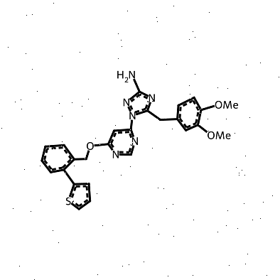 COc1ccc(Cc2nc(N)nn2-c2cc(OCc3ccccc3-c3cccs3)ncn2)cc1OC